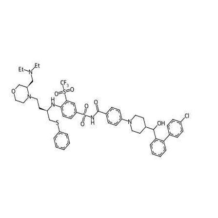 CCN(CC)C[C@@H]1COCCN1CC[C@H](CSc1ccccc1)Nc1ccc(S(=O)(=O)NC(=O)c2ccc(N3CCC(C(O)c4ccccc4-c4ccc(Cl)cc4)CC3)cc2)cc1S(=O)(=O)C(F)(F)F